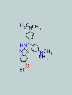 CCOc1ccc2nc(NC(c3ccc(N(C)C)cc3)c3ccc(N(C)C)cc3)sc2c1